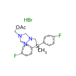 Br.CC(=O)OCN1C=NN(C[Si](C)(c2ccc(F)cc2)c2ccc(F)cc2)C1